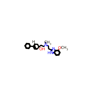 COc1cccc2[nH]c(CCN(C)CC[C@]3(O)C[C@H]4CCC3C=C4c3ccccc3)nc12